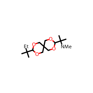 CCC(C)(C)C1OCC2(CO1)COC(C(C)(C)NC)OC2